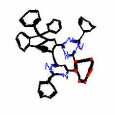 c1ccc(-c2cc(-c3cc4c(cc3-c3nc(-c5ccccc5)nc(-c5ccccc5)n3)C(c3ccccc3)(c3ccccc3)c3ccccc3-4)nc(-c3ccccc3)n2)cc1